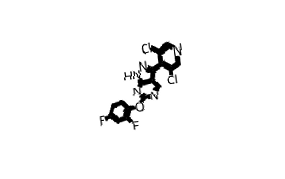 Fc1ccc(Oc2ncc3c(-c4c(Cl)cncc4Cl)n[nH]c3n2)c(F)c1